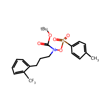 Cc1ccc(S(=O)(=O)ON(CCCc2ccccc2C(F)(F)F)C(=O)OC(C)(C)C)cc1